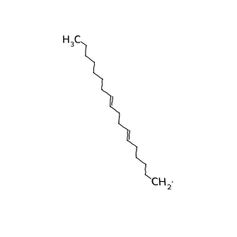 [CH2]CCCCC=CCCC=CCCCCCCC